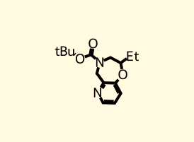 CCC1CN(C(=O)OC(C)(C)C)Cc2ncccc2O1